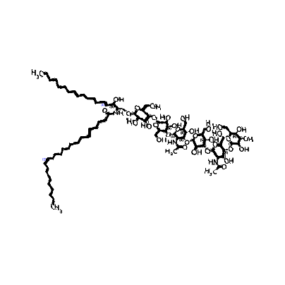 CCCCCCCC/C=C\CCCCCCCCCCCCCC(=O)N[C@@H](CO[C@@H]1OC(CO)[C@@H](O[C@@H]2OC(CO)[C@H](O[C@@H]3OC(CO)[C@H](O)[C@H](O[C@@H]4OC(CO)[C@H](O)[C@H](O[C@@H]5OC(CO)[C@H](O[C@@H]6OC(CO)[C@H](O)[C@H](O)C6O)[C@H](O)C5NC(C)=O)C4O)C3NC(C)=O)[C@H](O)C2O)[C@H](O)C1O)[C@H](O)/C=C/CCCCCCCCCCCCC